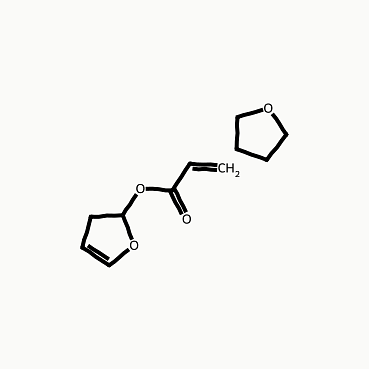 C1CCOC1.C=CC(=O)OC1CC=CO1